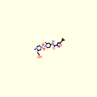 C[C@H]1C[C@@H](NC(=O)c2cc(C3CC3)on2)CCN1S(=O)(=O)N1CCN(C)[C@H](CCO)C1